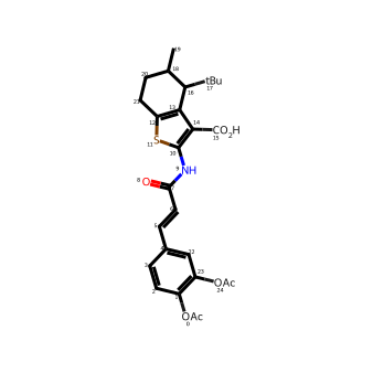 CC(=O)Oc1ccc(C=CC(=O)Nc2sc3c(c2C(=O)O)C(C(C)(C)C)C(C)CC3)cc1OC(C)=O